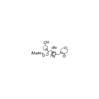 CNC(=O)[C@@H]1C[C@@H](O)CN1C(=O)[C@@H](n1cc(CN2CCOCCC2=O)nn1)C(C)(C)C